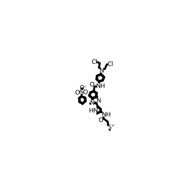 Cn1c(-c2cc(NC(=O)CC[S+](C)C)c[nH]2)nc2cc(C(=O)Nc3ccc(N(CCCl)CCCl)cc3)ccc21.O=S(=O)([O-])c1ccccc1